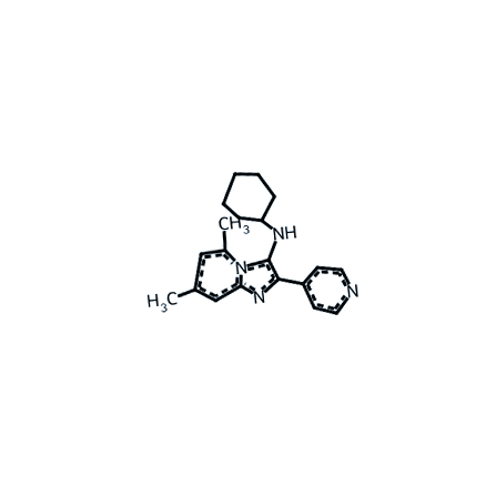 Cc1cc(C)n2c(NC3CCCCC3)c(-c3ccncc3)nc2c1